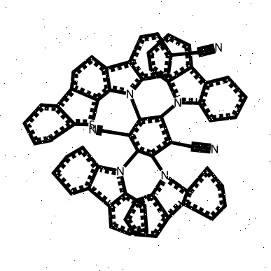 N#Cc1ccc2c3ccc4c5ccccc5sc4c3n(-c3c(C#N)c(-n4c5ccccc5c5ccccc54)c(-n4c5ccccc5c5ccccc54)c(C#N)c3-n3c4ccccc4c4ccccc43)c2c1